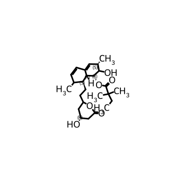 CCC(C)(C)C(=O)O[C@H]1C(O)[C@@H](C)C=C2C=CC(C)[C@H](CCC3C[C@@H](O)CC(=O)O3)[C@H]21